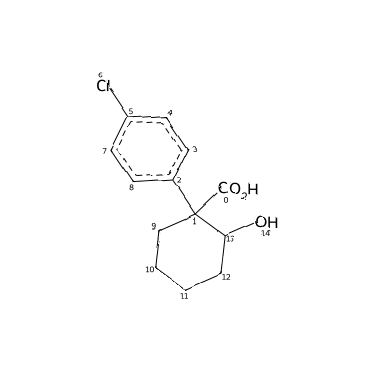 O=C(O)C1(c2ccc(Cl)cc2)CCCCC1O